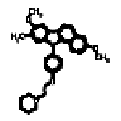 COc1ccc2c3c(ccc2c1)-c1cc(OC)c(C)cc1C3c1ccc(OCCN2CCCCC2)cc1